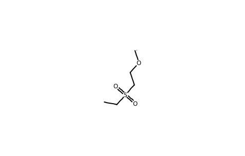 [CH2]OCCS(=O)(=O)CC